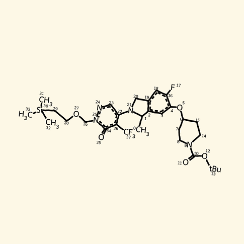 CC1c2cc(OC3CCN(C(=O)OC(C)(C)C)CC3)c(F)cc2CN1c1cnn(COCC[Si](C)(C)C)c(=O)c1C(F)(F)F